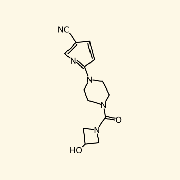 N#Cc1ccc(N2CCN(C(=O)N3CC(O)C3)CC2)nc1